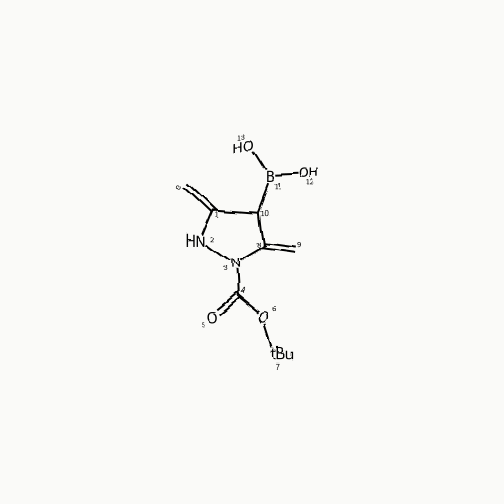 C=C1NN(C(=O)OC(C)(C)C)C(=C)C1B(O)O